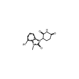 CC(C)c1cccc2c1n(C)c(=O)n2C1CCC(=O)NC1=O